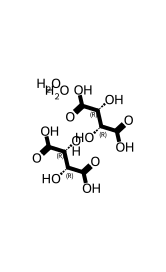 O.O.O=C(O)[C@H](O)[C@@H](O)C(=O)O.O=C(O)[C@H](O)[C@@H](O)C(=O)O